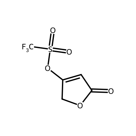 O=C1C=C(OS(=O)(=O)C(F)(F)F)CO1